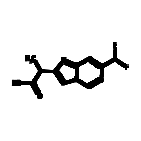 CC(C(=O)O)c1cn2ccc(C(F)F)cc2n1